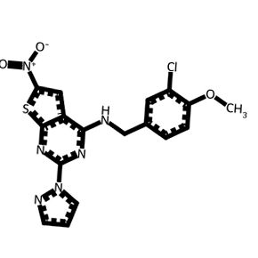 COc1ccc(CNc2nc(-n3cccn3)nc3sc([N+](=O)[O-])cc23)cc1Cl